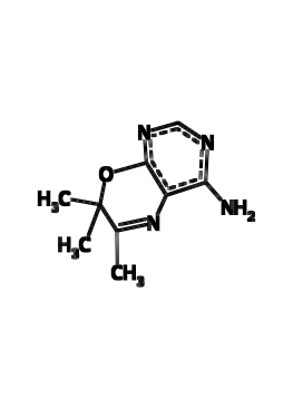 CC1=Nc2c(N)ncnc2OC1(C)C